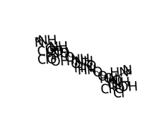 O=C(O)CC(NC(=O)[C@H](COCCOCCOCCNC(=O)NCCCCNC(=O)NCCOCCOCCOC[C@H](NC(=O)CCCCNc1ccccn1)C(=O)NC(CC(=O)O)c1cc(Cl)cc(Cl)c1)NC(=O)CCCCNc1ccccn1)c1cc(Cl)cc(Cl)c1